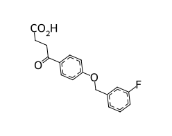 O=C(O)CCC(=O)c1ccc(OCc2cccc(F)c2)cc1